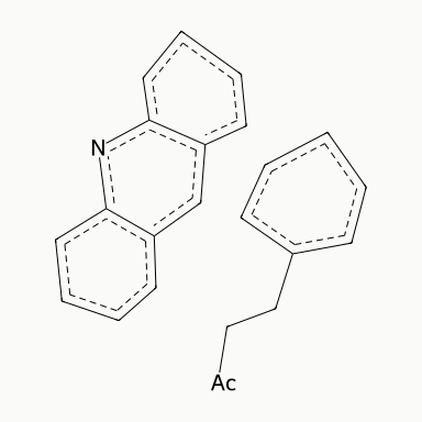 CC(=O)CCc1ccccc1.c1ccc2nc3ccccc3cc2c1